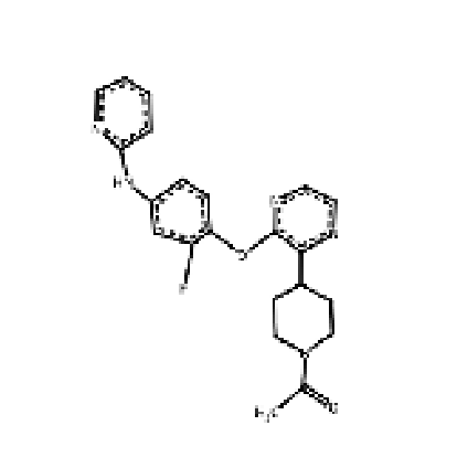 CC(=O)N1CCC(c2nccnc2Oc2ccc(Nc3ccccn3)cc2F)CC1